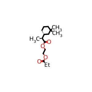 CCC(=O)OCCOC(=O)[C@@H](C)[C@@H]1CCCC(C)(C)C1